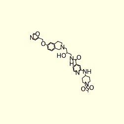 CS(=O)(=O)N1CCC(Nc2cc(C(=O)NCC(O)CN3CCc4cc(OCc5cnco5)ccc4C3)ccn2)CC1